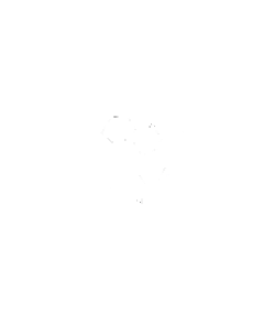 C/C(=C/c1cc2ccccc2nc1Cl)C(=O)NC1CCCCC1